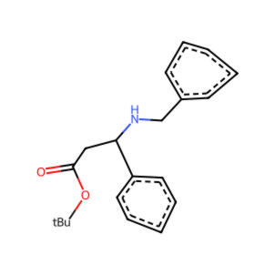 CC(C)(C)OC(=O)CC(NCc1ccccc1)c1ccccc1